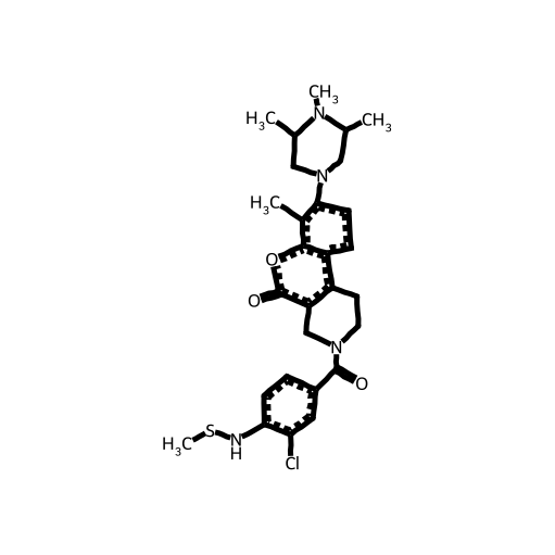 CSNc1ccc(C(=O)N2CCc3c(c(=O)oc4c(C)c(N5CC(C)N(C)C(C)C5)ccc34)C2)cc1Cl